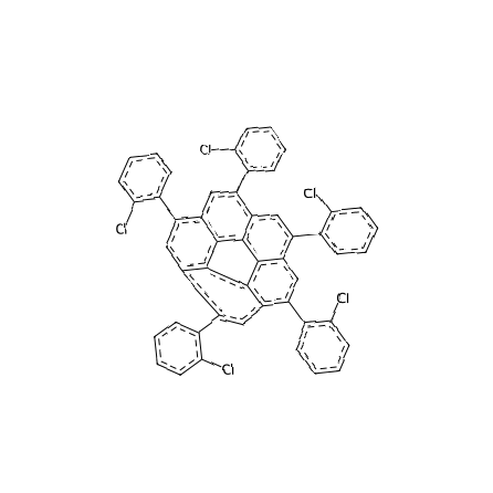 Clc1ccccc1-c1cc2c(-c3ccccc3Cl)cc3c(-c4ccccc4Cl)cc4c(-c5ccccc5Cl)cc5c(-c6ccccc6Cl)cc1c1c5c4c3c21